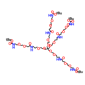 CC(C)(C)OC(=O)NCCOCCOCCC(=O)NCCCOCCOCC(COCCOCCCNC(=O)CCOCCOCCNC(=O)OC(C)(C)C)(COCCOCCCNC(=O)CCOCCOCCNC(=O)OC(C)(C)C)COCCOCCCNC(=O)CCOCCOCONC(=O)OC(C)(C)C